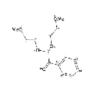 COCCOC(OCCOC)C(=O)c1ccccc1